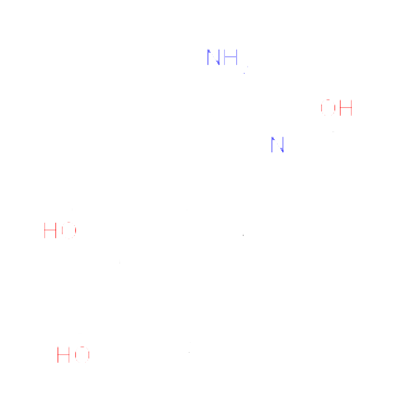 NC(Cc1cccc(O)c1O)=NO